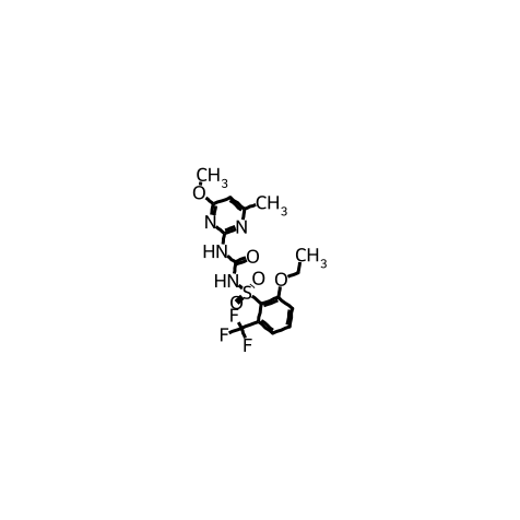 CCOc1cccc(C(F)(F)F)c1S(=O)(=O)NC(=O)Nc1nc(C)cc(OC)n1